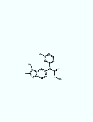 Cc1nc2cnc(N(C(=O)OC(C)(C)C)c3ccnc(Cl)n3)cc2n1C(C)C